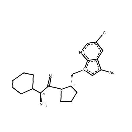 CC(=O)c1cn(C[C@@H]2CCCN2C(=O)[C@@H](N)C2CCCCC2)c2ncc(Cl)cc12